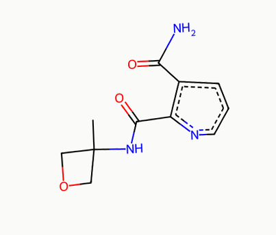 CC1(NC(=O)c2ncccc2C(N)=O)COC1